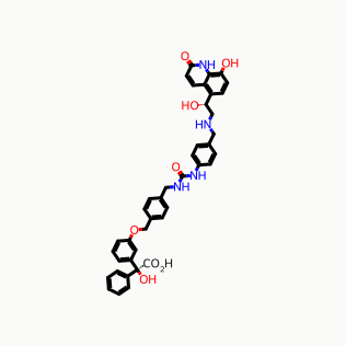 O=C(NCc1ccc(COc2cccc([C@](O)(C(=O)O)c3ccccc3)c2)cc1)Nc1ccc(CNC[C@H](O)c2ccc(O)c3[nH]c(=O)ccc23)cc1